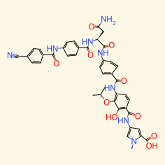 CC(C)Oc1c(NC(=O)c2ccc(NC(=O)[C@H](CC(N)=O)NC(=O)c3ccc(NC(=O)c4ccc(C#N)cc4)cc3)cc2)ccc(C(=O)Nc2cc(C(=O)O)n(C)c2)c1O